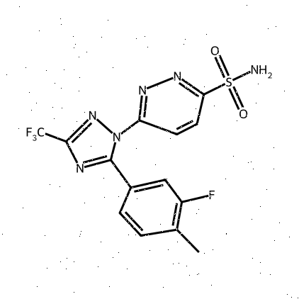 Cc1ccc(-c2nc(C(F)(F)F)nn2-c2ccc(S(N)(=O)=O)nn2)cc1F